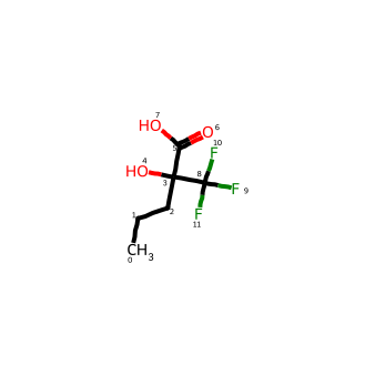 CCCC(O)(C(=O)O)C(F)(F)F